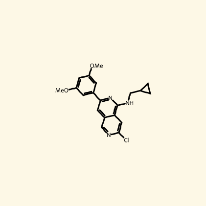 COc1cc(OC)cc(-c2cc3cnc(Cl)cc3c(NCC3CC3)n2)c1